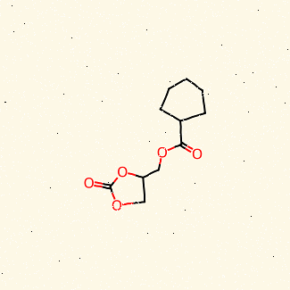 O=C1OCC(COC(=O)C2CCCCC2)O1